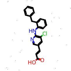 O=C(O)/C=C/c1cnc(Nc2ccccc2Cc2ccccc2)c(Cl)c1